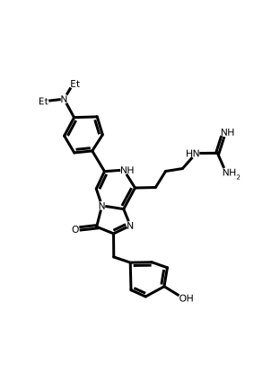 CCN(CC)c1ccc(-c2cn3c(=O)c(Cc4ccc(O)cc4)nc-3c(CCCNC(=N)N)[nH]2)cc1